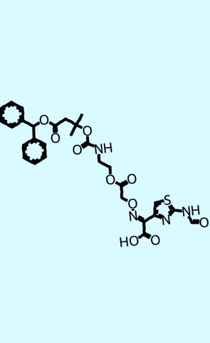 CC(C)(CC(=O)OC(c1ccccc1)c1ccccc1)OC(=O)NCCOC(=O)CO/N=C(/C(=O)O)c1csc(NC=O)n1